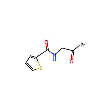 CC(C)C(=O)CNC(=O)c1cccs1